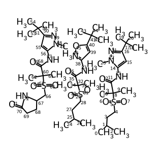 CC(C)CCS(=O)(=O)C(C)(C)C(=O)Nc1cc(C(C)(C)C)nn1C.CC(C)CCS(=O)(=O)C(C)(C)C(=O)Nc1cc(C(C)(C)C)on1.Cn1nc(C(C)(C)C)cc1NC(=O)C(C)(C)S(=O)(=O)CC1CCC(=O)N1